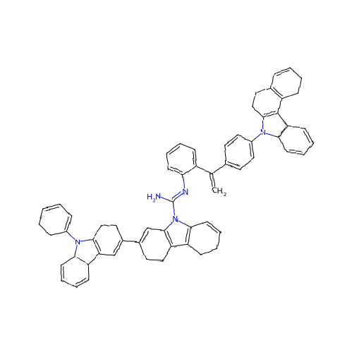 C=C(c1ccc(N2C3=C(C4=C(C=CCC4)CC3)C3C=CC=CC32)cc1)c1ccccc1/N=C(\N)n1c2c(c3c1C=C(C1=CC4=C(CC1)N(C1=CC=CCC1)C1C=CC=CC41)CC3)CCC=C2